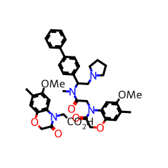 COc1cc2c(cc1C)OCC(=O)N2CC(=O)N(C)C(CN1CCCC1)c1ccc(-c2ccccc2)cc1.COc1cc2c(cc1C)OCC(=O)N2CC(=O)O